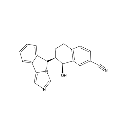 N#Cc1ccc2c(c1)[C@@H](O)[C@@H](C1c3ccccc3-c3cncn31)CC2